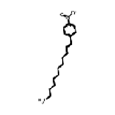 CCCCCCCCCC/C=C/c1ccc([N+](=O)[O-])cc1